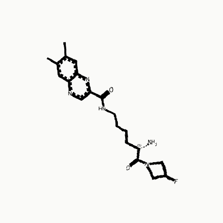 Cc1cc2ncc(C(=O)NCCCC[C@H](N)C(=O)N3CC(F)C3)nc2cc1C